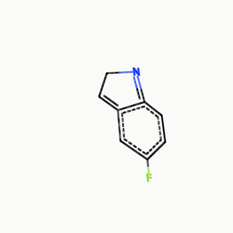 Fc1ccc2c(c1)=CCN=2